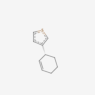 C1=C[C@H](c2ccsc2)CCC1